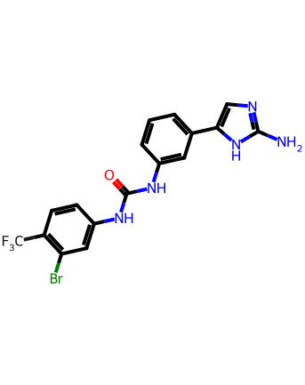 Nc1ncc(-c2cccc(NC(=O)Nc3ccc(C(F)(F)F)c(Br)c3)c2)[nH]1